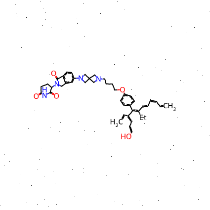 C=C\C=C/C=C/C(CC)=C(/C(C=C)=C/C=C/O)c1ccc(OCCCCN2CC3(C2)CN(c2ccc4c(c2)CN(C2CCC(=O)NC2=O)C4=O)C3)cc1